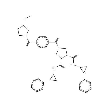 CO[C@H]1CCN(C(=O)c2ccc(C(=O)N3C[C@@H](C(=O)N[C@H]4C[C@@H]4c4ccccc4)[C@H](C(=O)N[C@H]4C[C@@H]4c4ccccc4)C3)cc2)C1